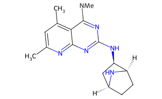 CNc1nc(N[C@@H]2C[C@@H]3CC[C@H]2N3)nc2nc(C)cc(C)c12